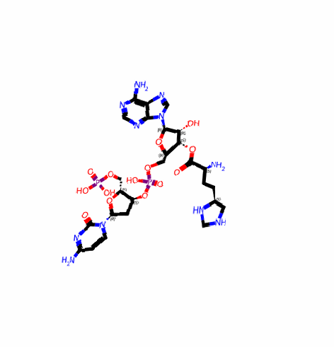 Nc1ccn([C@H]2C[C@H](OP(=O)(O)OC[C@H]3O[C@@H](n4cnc5c(N)ncnc54)[C@H](O)[C@@H]3OC(=O)[C@@H](N)CC[C@H]3CNCN3)[C@@H](COP(=O)(O)O)O2)c(=O)n1